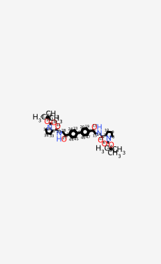 CC(C)(C)OC(=O)N1CCC[C@H]1C(=O)NCC(=O)c1ccc(-c2ccc(C(=O)CNC(=O)[C@@H]3CCCN3C(=O)OC(C)(C)C)cc2)cc1